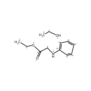 CCO.CCOC(=O)CNc1ccccc1